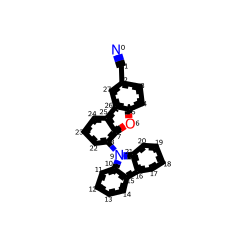 N#Cc1ccc2oc3c(-n4c5ccccc5c5ccccc54)cccc3c2c1